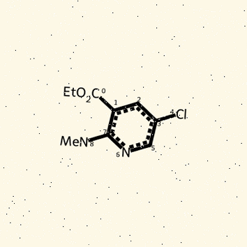 CCOC(=O)c1cc(Cl)cnc1NC